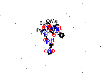 CC[C@H](C)[C@@H]([C@@H](CC(=O)N1CCC[C@H]1[C@H](OC)[C@@H](C)C(=O)N[C@@H](Cc1ccccc1)C(=O)N1CCCCO1)OC)N(C)C(=O)[C@@H](NC(=O)[C@H](C(C)C)N(C)CCCC(=O)NNC(=O)C(C)(C)CCN1C(=O)C=CC1=O)C(C)C